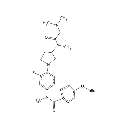 CCCCOc1ccc(C(=O)N(C)c2ccc(N3CCC(N(C)C(=O)CN(C)C)C3)c(F)c2)cc1